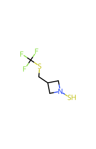 FC(F)(F)SCC1CN(S)C1